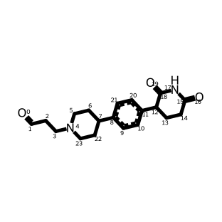 O=CCCN1CCC(c2ccc(C3CCC(=O)NC3=O)cc2)CC1